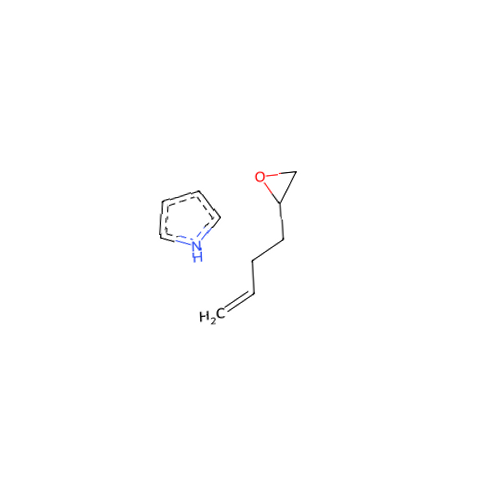 C=CCCC1CO1.c1cc[nH]c1